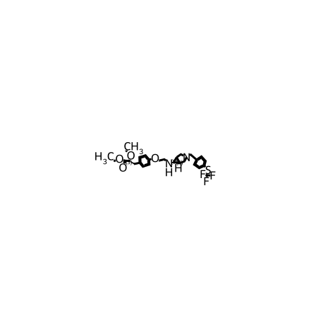 CCOC(=O)[C@H](Cc1ccc(OCCN[C@H]2C3CN(Cc4ccc(SC(F)(F)F)cc4)C[C@@H]32)cc1)OCC